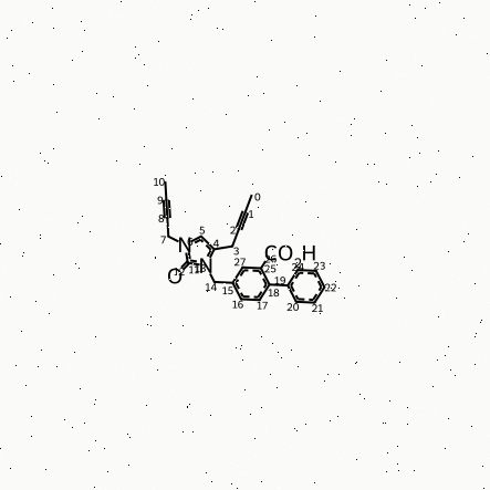 CC#CCc1cn(CC#CC)c(=O)n1Cc1ccc(-c2ccccc2)c(C(=O)O)c1